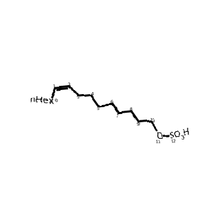 CCCCCC/C=C\CCCCCCCCOS(=O)(=O)O